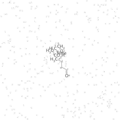 C=O.CC(=O)O.CCCC=O.CNC